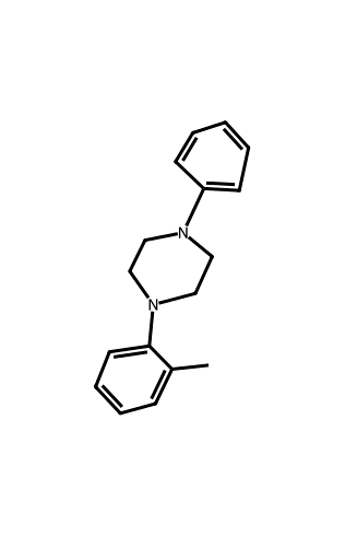 Cc1ccccc1N1CCN(c2ccccc2)CC1